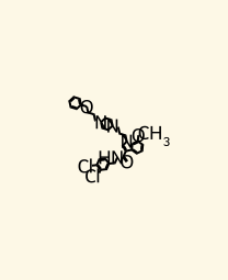 COc1cccc2c(C(=O)NCc3ccc(Cl)c(Cl)c3)cn(CCCN3CCN(CCCOc4ccccc4)CC3)c12